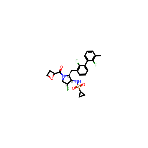 Cc1cccc(-c2cccc(C[C@H]3[C@@H](NS(=O)(=O)C4CC4)[C@@H](F)CN3C(=O)C3CCO3)c2F)c1F